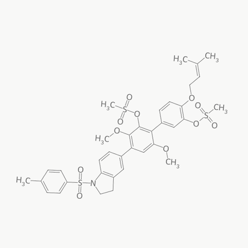 COc1cc(-c2ccc3c(c2)CCN3S(=O)(=O)c2ccc(C)cc2)c(OC)c(OS(C)(=O)=O)c1-c1ccc(OCC=C(C)C)c(OS(C)(=O)=O)c1